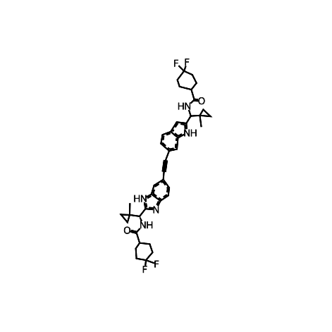 CC1(C(NC(=O)C2CCC(F)(F)CC2)c2cc3ccc(C#Cc4ccc5nc([C@@H](NC(=O)C6CCC(F)(F)CC6)C6(C)CC6)[nH]c5c4)cc3[nH]2)CC1